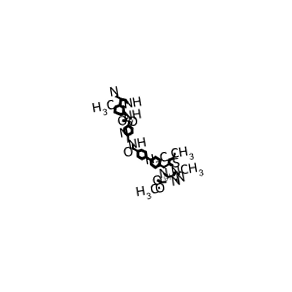 COC(=O)C[C@@H]1N=C(c2ccc(-c3ccc(C(=O)NCc4ccc(S(=O)(=O)Nc5ccc(C)c6c(C#N)c[nH]c56)cn4)cc3)cc2)c2c(sc(C)c2C)-n2c(C)nnc21